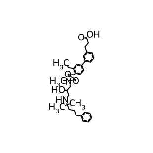 CCc1cc(-c2cccc(CCC(=O)O)c2)ccc1S(=O)(=O)N(C)CC(O)CNC(C)(C)CCCc1ccccc1